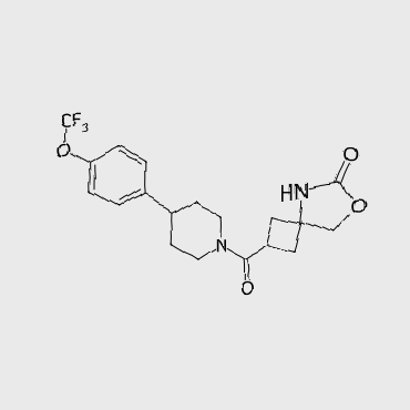 O=C1NC2(CO1)CC(C(=O)N1CCC(c3ccc(OC(F)(F)F)cc3)CC1)C2